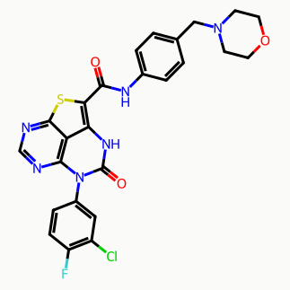 O=C(Nc1ccc(CN2CCOCC2)cc1)c1sc2ncnc3c2c1NC(=O)N3c1ccc(F)c(Cl)c1